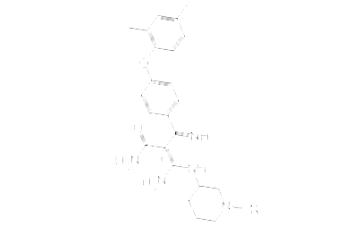 Cc1ccc(Oc2ccc(C(=N)/C(C(N)=O)=C(/N)NC3CCCN(C#N)C3)cc2)c(C)c1